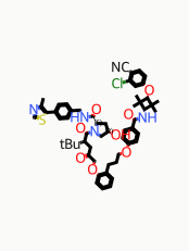 Cc1ncsc1-c1ccc(CNC(=O)[C@@H]2C[C@@H](O)CN2C(=O)C(CC(=O)COc2ccccc2CCCOc2ccc(C(=O)N[C@H]3C(C)(C)[C@H](Oc4ccc(C#N)c(Cl)c4)C3(C)C)cc2)C(C)(C)C)cc1